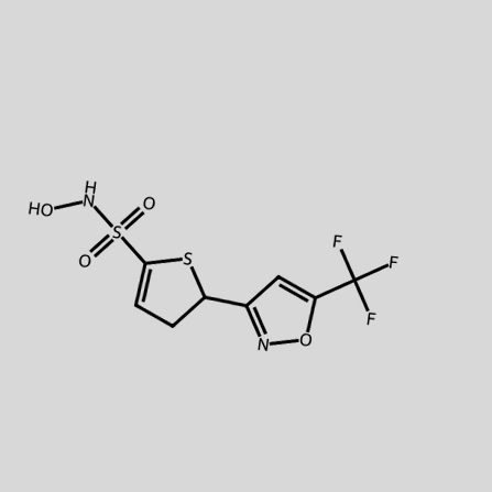 O=S(=O)(NO)C1=CCC(c2cc(C(F)(F)F)on2)S1